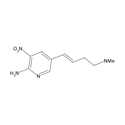 CNCCC=Cc1cnc(N)c([N+](=O)[O-])c1